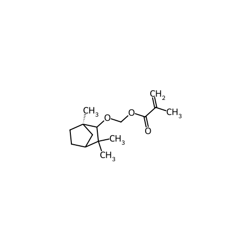 C=C(C)C(=O)OCOC1C(C)(C)C2CC[C@]1(C)C2